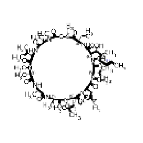 C/C=C/C[C@@H](C)[C@@H](O)[C@H]1C(=O)N[C@@H](CC)C(=O)N(C)CC(=O)N(C)C(C)C(=O)N[C@@H](C(C)C)C(=O)N(C)[C@@H](C)C(=O)N[C@@H](C)C(=O)N[C@H](C)C(=O)N(C)[C@@H](CC(C)C)C(=O)N(C)[C@H](CC(C)C)C(=O)N(C)[C@@H](C(C)C)C(=O)N1C